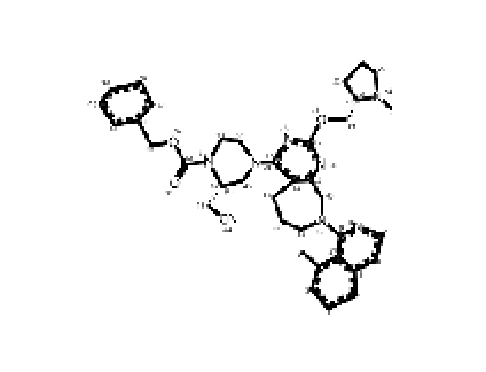 Cc1cccc2ccnc(N3CCCc4c(nc(OC[C@@H]5CCCN5C)nc4N4CCN(C(=O)OCc5ccccc5)[C@@H](CC#N)C4)C3)c12